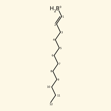 BC=CCCCCCCCCCC